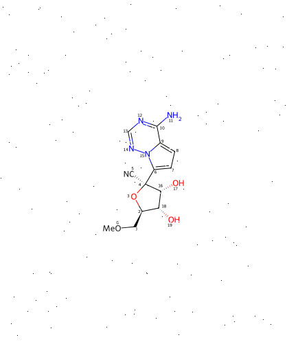 COC[C@H]1O[C@@](C#N)(c2ccc3c(N)ncnn23)[C@H](O)[C@@H]1O